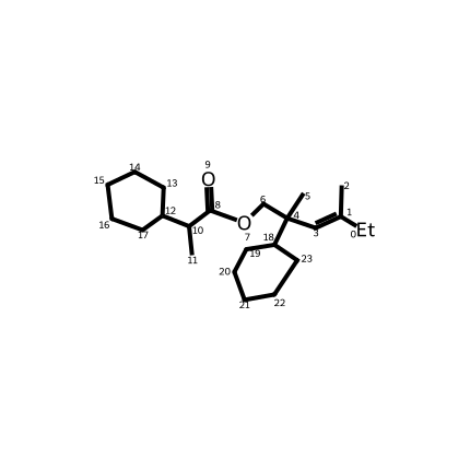 CC/C(C)=C/C(C)(COC(=O)C(C)C1CCCCC1)C1CCCCC1